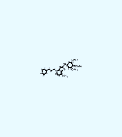 COc1cc(Sc2nc3c(N)ncn(CCCc4ccccc4)c-3n2)cc(OC)c1OC